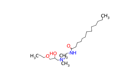 CCCCCCCCCCCCC(=O)NCC[N+](C)(C)CC(O)COCCC